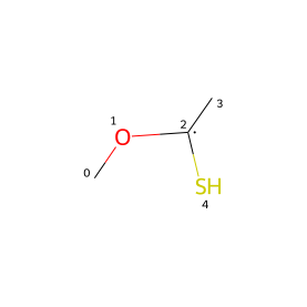 CO[C](C)S